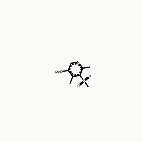 COc1cnc(C)c(S(C)(=O)=O)c1C